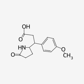 COc1ccc(C(CC(=O)O)C2CCC(=O)N2)cc1